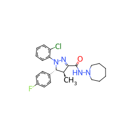 C[C@@H]1C(C(=O)NN2CCCCCC2)=NN(c2ccccc2Cl)[C@H]1c1ccc(F)cc1